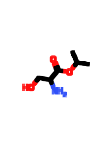 CC(C)OC(=O)C(N)CO